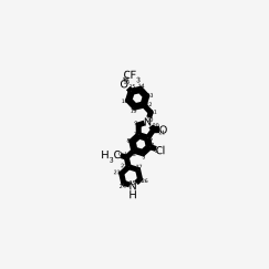 CC(c1cc(Cl)c2c(c1)CN(Cc1ccc(OC(F)(F)F)cc1)C2=O)C1CCNCC1